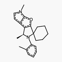 Cc1ccccc1N1[C@@H](C)c2c(oc3c2ccn3C)C12CCCCC2